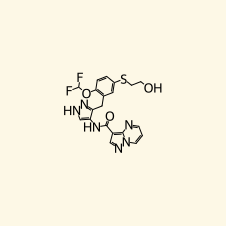 O=C(Nc1c[nH]nc1Cc1cc(SCCO)ccc1OC(F)F)c1cnn2cccnc12